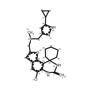 C=C1Nc2c(Cl)cc3cc(CN(C)Cc4cc(C5CC5)[nH]n4)oc3c2C2(CCCCC2)N1